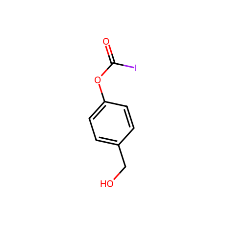 O=C(I)Oc1ccc(CO)cc1